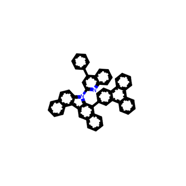 c1ccc(-c2cc(-n3c4ccc5ccccc5c4c4cc5ccccc5c(-c5ccc6c7ccccc7c7ccccc7c6c5)c43)nc3ccccc23)cc1